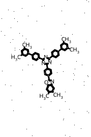 Cc1cc(C)cc(-c2ccc(-c3nc(-c4ccc(-c5cc(C)cc(C)c5)cc4)nc(-c4ccc(-c5nc6cc(C)c(C)cc6o5)cc4)n3)cc2)c1